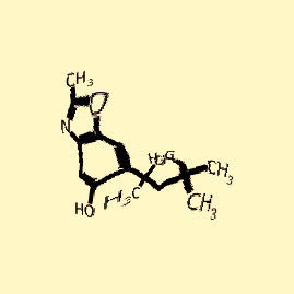 Cc1nc2cc(O)c(C(C)(C)CC(C)(C)C)cc2o1